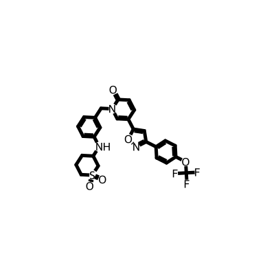 O=c1ccc(-c2cc(-c3ccc(OC(F)(F)F)cc3)no2)cn1Cc1cccc(NC2CCCS(=O)(=O)C2)c1